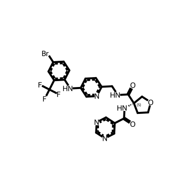 O=C(N[C@@]1(C(=O)NCc2ccc(Nc3ccc(Br)cc3C(F)(F)F)cn2)CCOC1)c1cncnc1